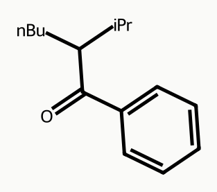 CCCCC(C(=O)c1ccccc1)C(C)C